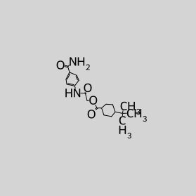 CC(C)(C)C1CCC(C(=O)OCC(=O)Nc2ccc(C(N)=O)cc2)CC1